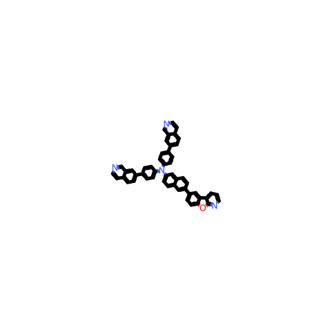 c1cnc2oc3ccc(-c4ccc5cc(N(c6ccc(-c7ccc8ccncc8c7)cc6)c6ccc(-c7ccc8ccncc8c7)cc6)ccc5c4)cc3c2c1